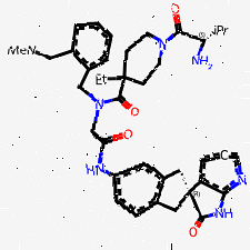 CCC1(C(=O)N(CC(=O)Nc2ccc3c(c2)C[C@@]2(C3)C(=O)Nc3ncccc32)Cc2ccccc2CNC)CCN(C(=O)[C@@H](N)C(C)C)CC1